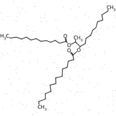 CCCCCCCCCCCCCC(=O)OC(CCCCCCCCCC)C(C)OC(=O)CCCCCCCCCCCC